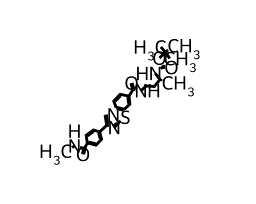 CNC(=O)c1ccc(-c2cn3c(n2)sc2cc(C(=O)NCC[C@H](C)NC(=O)OC(C)(C)C)ccc23)cc1